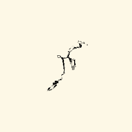 CCOC(=O)C(=O)CCCC=O